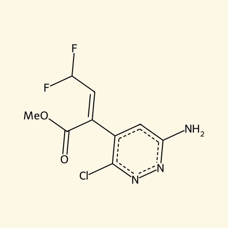 COC(=O)C(=CC(F)F)c1cc(N)nnc1Cl